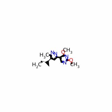 C=C[C@H]1C[C@@H]1c1cc(-c2cnc(OC)nc2OC)nnc1C